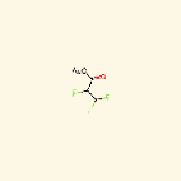 CC(=O)OC(=O)C(F)C(F)F